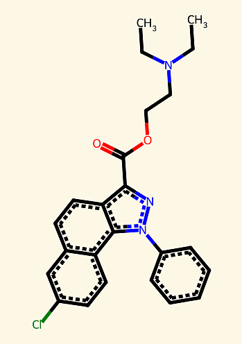 CCN(CC)CCOC(=O)c1nn(-c2ccccc2)c2c1ccc1cc(Cl)ccc12